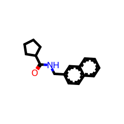 O=C(NCc1ccc2ccccc2c1)C1CCCC1